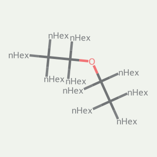 CCCCCCC(CCCCCC)(CCCCCC)C(CCCCCC)(CCCCCC)OC(CCCCCC)(CCCCCC)C(CCCCCC)(CCCCCC)CCCCCC